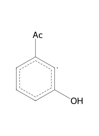 CC(=O)c1[c]c(O)ccc1